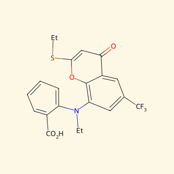 CCSc1cc(=O)c2cc(C(F)(F)F)cc(N(CC)c3ccccc3C(=O)O)c2o1